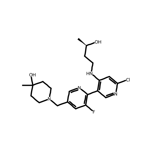 C[C@@H](O)CCNc1cc(Cl)ncc1-c1ncc(CN2CCC(C)(O)CC2)cc1F